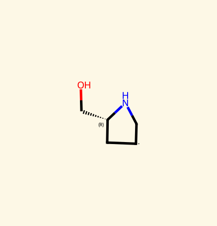 OC[C@H]1C[CH]CN1